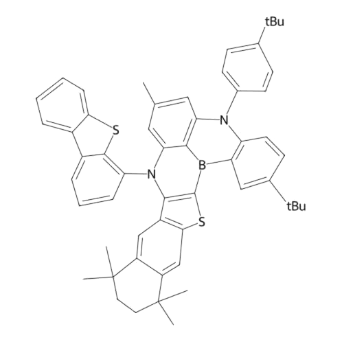 Cc1cc2c3c(c1)N(c1cccc4c1sc1ccccc14)c1c(sc4cc5c(cc14)C(C)(C)CCC5(C)C)B3c1cc(C(C)(C)C)ccc1N2c1ccc(C(C)(C)C)cc1